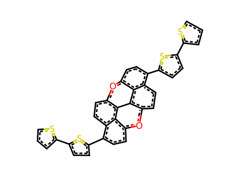 c1csc(-c2ccc(-c3ccc4oc5ccc6c(-c7ccc(-c8cccs8)s7)ccc7oc8ccc3c4c8-c5c76)s2)c1